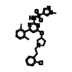 Cc1cccc(C)c1-c1cc(OC2CCN(CCc3ccccc3Cl)C2)nc(NS(=O)(=O)c2cnn(C)c2)n1